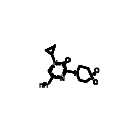 CCCc1cn(C2CC2)c(=O)c(N2CCS(=O)(=O)CC2)n1